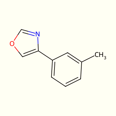 Cc1cccc(-c2cocn2)c1